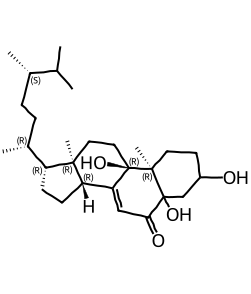 CC(C)[C@@H](C)CC[C@@H](C)[C@H]1CC[C@H]2C3=CC(=O)C4(O)CC(O)CC[C@]4(C)[C@@]3(O)CC[C@]12C